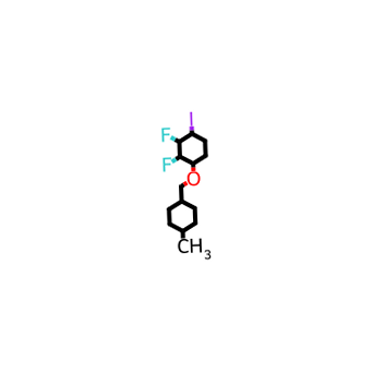 CC1CCC(COC2CCC(I)C(F)C2F)CC1